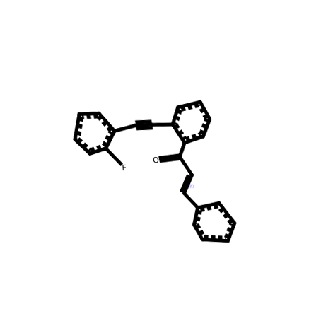 O=C(/C=C/c1ccccc1)c1ccccc1C#Cc1ccccc1F